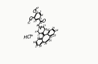 COc1ccc(C(=O)CN2CCC(=C3c4ccccc4C=Cc4ccccc43)CC2)cc1OC.Cl